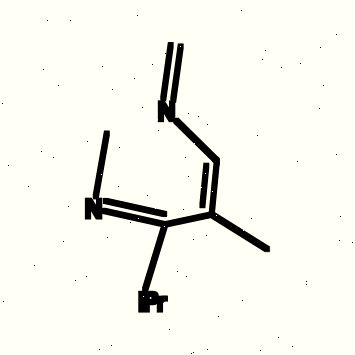 C=N/C=C(C)\C(=N/C)C(C)C